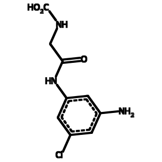 Nc1cc(Cl)cc(NC(=O)CNC(=O)O)c1